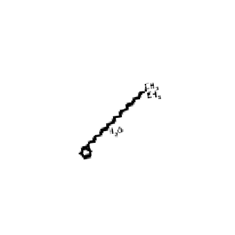 CP(C)CCCCCCCCCCCCCCCCCc1ccccc1.O